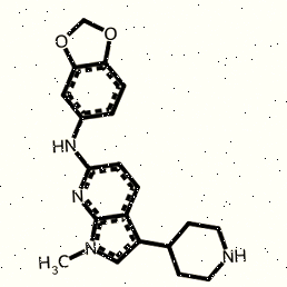 Cn1cc(C2CCNCC2)c2ccc(Nc3ccc4c(c3)OCO4)nc21